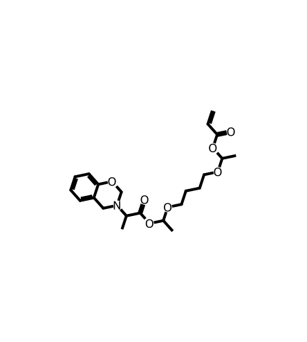 C=CC(=O)OC(C)OCCCCOC(C)OC(=O)C(C)N1COc2ccccc2C1